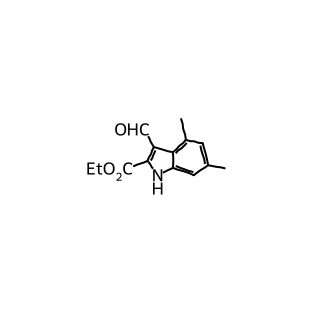 CCOC(=O)c1[nH]c2cc(C)cc(C)c2c1C=O